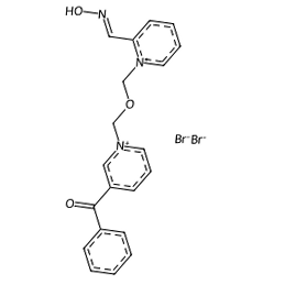 O=C(c1ccccc1)c1ccc[n+](COC[n+]2ccccc2C=NO)c1.[Br-].[Br-]